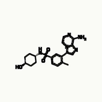 Cc1ccc(S(=O)(=O)N[C@H]2CC[C@H](O)CC2)cc1-c1cnc2c(N)nccn12